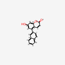 O=c1ccc2c(-c3ccc4ccccc4c3)cc(O)cc2o1